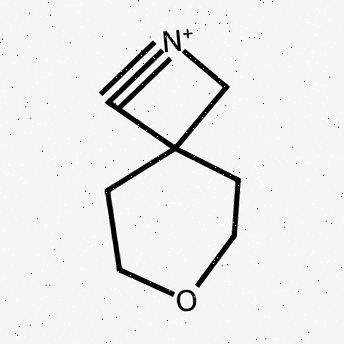 C1#[N+]CC12CCOCC2